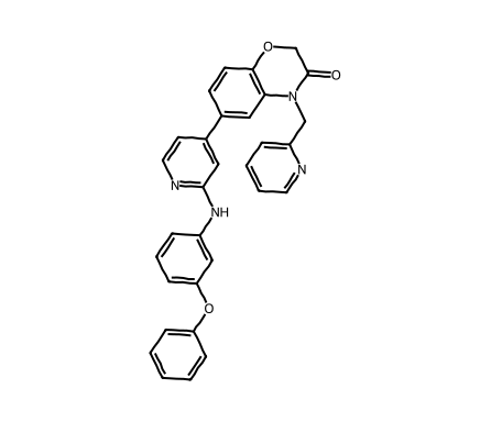 O=C1COc2ccc(-c3ccnc(Nc4cccc(Oc5ccccc5)c4)c3)cc2N1Cc1ccccn1